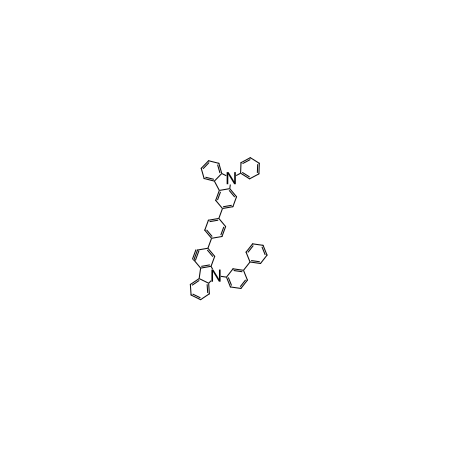 c1c(-c2ccc(-c3ccc4c(c3)c3ccccc3n4-c3ccccc3)cc2)cc2c(c#1)c1ccccc1n2-c1cccc(-c2ccccc2)c1